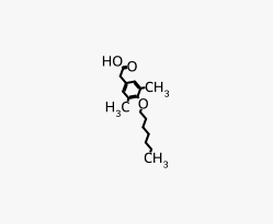 CCCCCCCOc1c(C)cc(CC(=O)O)cc1C